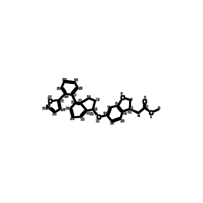 COC(=O)C[C@@H]1COc2cc(O[C@@H]3CCc4c(-c5ccccc5-c5ccno5)cccc43)ccc21